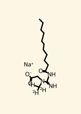 [2H]C([2H])([2H])N(CC(=O)[O-])C(=N)NC(=O)CCCCCCCCCC.[Na+]